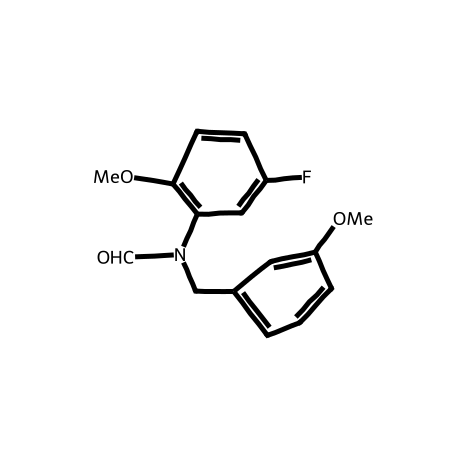 COc1cccc(CN(C=O)c2cc(F)ccc2OC)c1